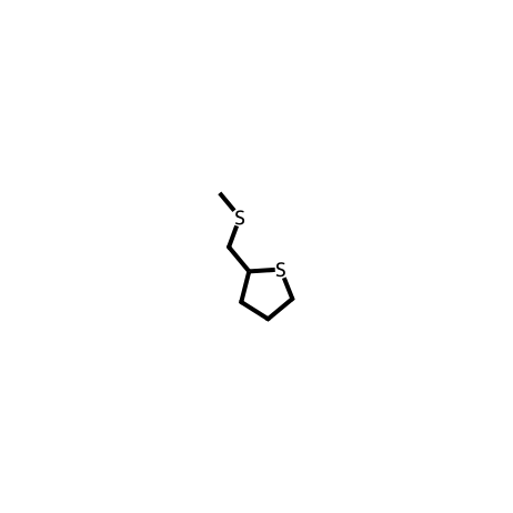 CSCC1CCCS1